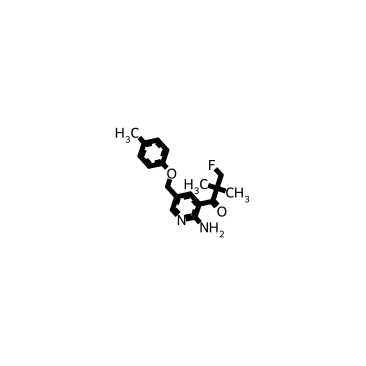 Cc1ccc(OCc2cnc(N)c(C(=O)C(C)(C)CF)c2)cc1